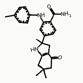 Cc1ccc(Nc2cc(C3(C)CC4=C(CC(C)(C)CC4=O)N3)ccc2C(N)=O)cc1